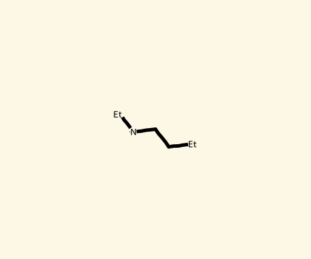 CCCC[N]CC